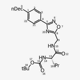 CCCCCCCCCCc1ccc(-c2noc(CNC(=O)[C@@H](NC(=O)OC(C)(C)C)C(C)C)n2)cc1